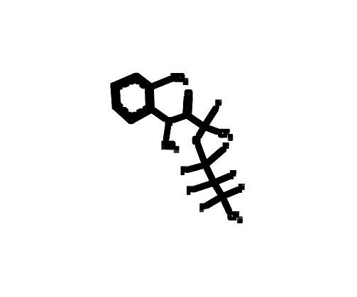 O=C(N(c1ccccc1[N+](=O)[O-])[N+](=O)[O-])C(F)(OC(F)(F)C(F)(F)C(F)(F)C(F)(F)F)C(F)(F)F